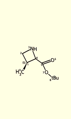 C[C@H]1CNC1C(=O)OC(C)(C)C